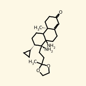 CC1(CC[C@]2(N)[C@H](C3CC3)CCC3C2(N)CCC2=CC(=O)CC[C@@]23C)OCCO1